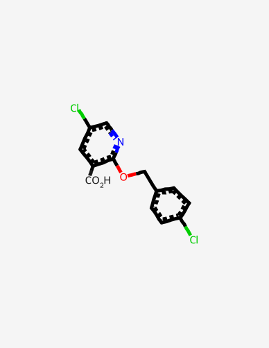 O=C(O)c1cc(Cl)cnc1OCc1ccc(Cl)cc1